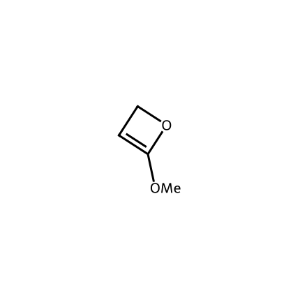 COC1=CCO1